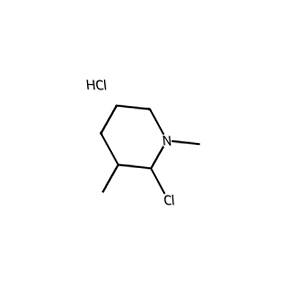 CC1CCCN(C)C1Cl.Cl